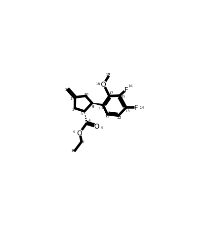 C=C1C[C@@H](C(=O)OCC)[C@H](c2ccc(F)c(F)c2OC)C1